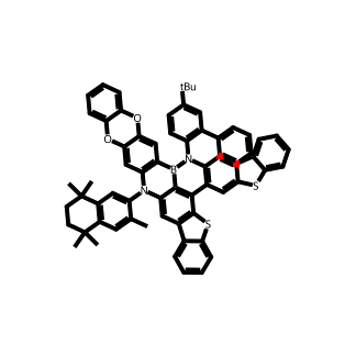 Cc1cc2c(cc1N1c3cc4c(cc3B3c5c1cc1c(sc6ccccc61)c5-c1cc5sc6ccccc6c5cc1N3c1ccc(C(C)(C)C)cc1-c1ccccc1)Oc1ccccc1O4)C(C)(C)CCC2(C)C